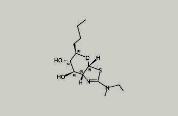 CCCC[C@H]1O[C@@H]2SC(N(C)CC)=N[C@@H]2[C@@H](O)[C@@H]1O